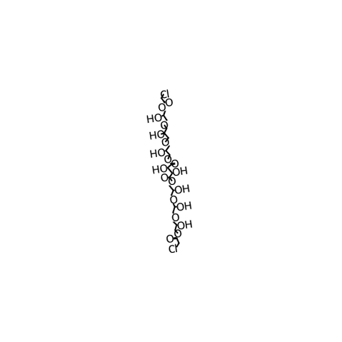 O=C(CCl)OCC(O)COCC(O)COCC(O)COC(=O)C(O)C(O)C(=O)OCC(O)COCC(O)COCC(O)COC(=O)CCl